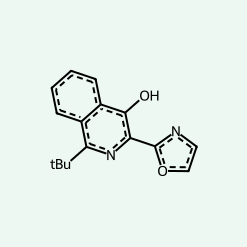 CC(C)(C)c1nc(-c2ncco2)c(O)c2ccccc12